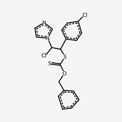 S=C(OCc1ccccc1)SC(c1ccc(Cl)cc1)C(Cl)n1ccnc1